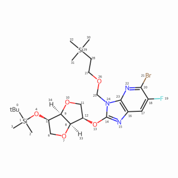 CC(C)(C)[Si](C)(C)O[C@@H]1CO[C@H]2[C@@H]1OC[C@H]2Oc1nc2cc(F)c(Br)nc2n1COCC[Si](C)(C)C